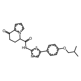 CC(C)COc1ccc(-c2cnc(NC(=O)C3CCC(=O)c4cccn43)s2)cc1